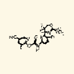 Cc1cc(C#N)cnc1OC(=O)Nc1ccc(F)c([C@@]2(C)N=C(N)OCC2(F)F)n1